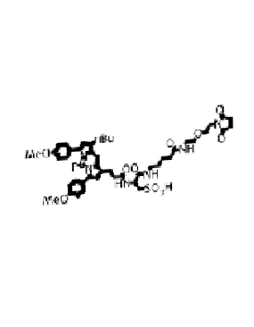 CCCCc1cc(-c2ccc(OC)cc2)n2c1C=C1C(CCC(=O)NC(CS(=O)(=O)O)C(=O)NCCCCC(=O)NCCOCCN3C(=O)C=CC3=O)=CC(c3ccc(OC)cc3)=[N+]1B2F